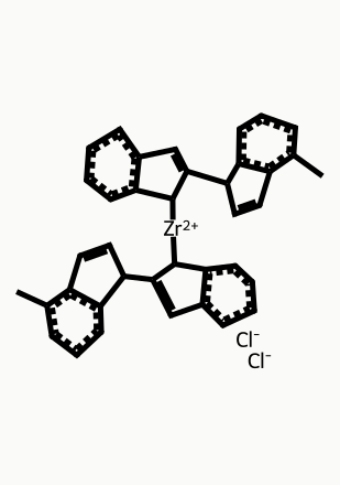 Cc1cccc2c1C=CC2C1=Cc2ccccc2[CH]1[Zr+2][CH]1C(C2C=Cc3c(C)cccc32)=Cc2ccccc21.[Cl-].[Cl-]